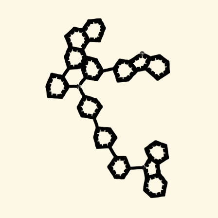 c1cc(-c2ccc3c(c2)oc2ccccc23)cc(N(c2ccc(-c3ccc(-c4cccc(-n5c6ccccc6c6ccccc65)c4)cc3)cc2)c2ccccc2-c2ccc3c(ccc4ccccc43)c2)c1